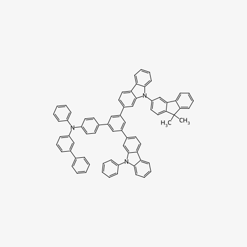 CC1(C)c2ccccc2-c2cc(-n3c4ccccc4c4ccc(-c5cc(-c6ccc(N(c7ccccc7)c7cccc(-c8ccccc8)c7)cc6)cc(-c6ccc7c8ccccc8n(-c8ccccc8)c7c6)c5)cc43)ccc21